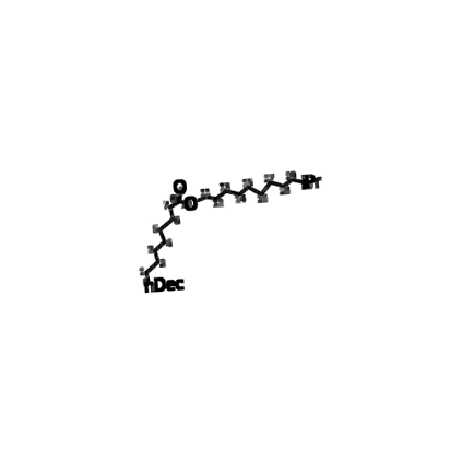 CCCCCCCCCCCCCCCCCC(=O)OCCCCCCCCCC(C)C